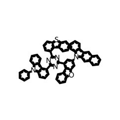 c1ccc(-n2c3ccccc3c3c(-c4nc(-c5cc(-n6c7ccccc7c7cc8ccccc8cc76)cc6oc7ccccc7c56)nc(-c5cccc6sc7ccccc7c56)n4)cccc32)cc1